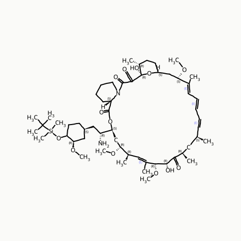 CO[C@H]1C[C@@H]2CC[C@@H](C)[C@@](O)(O2)C(=O)C(=O)N2CCCC[C@H]2C(=O)O[C@H]([C@H](N)C[C@@H]2CCC(O[Si](C)(C)C(C)(C)C)[C@H](OC)C2)C[C@@H](OC)[C@H](C)/C=C(\C)[C@@H](OC)[C@@H](O)C(=O)[C@H](C)C[C@H](C)/C=C/C=C/C=C/1C